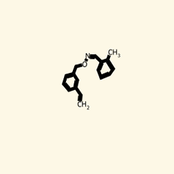 C=Cc1cccc(CO/N=[C]\c2ccccc2C)c1